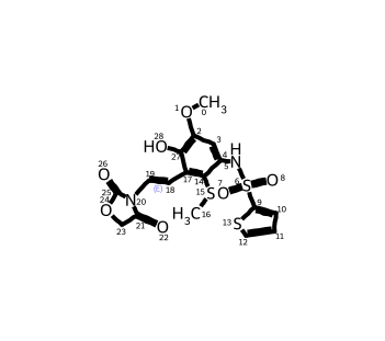 COc1cc(NS(=O)(=O)c2cccs2)c(SC)c(/C=C/N2C(=O)COC2=O)c1O